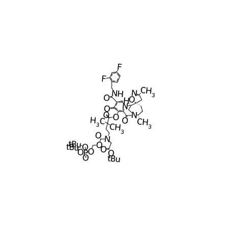 CC1=NO[C@@]2(CC[C@H](C)N3C[C@H]2n2cc(C(=O)NCc4ccc(F)cc4F)c(=O)c(OC(=O)C(C)(C)CCN(CC(=O)OC(C)(C)C)C(=O)OCOP(=O)(OC(C)(C)C)OC(C)(C)C)c2C3=O)C1